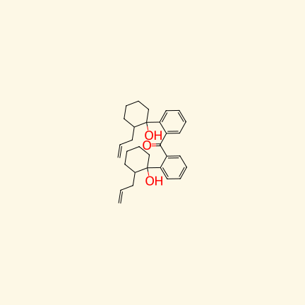 C=CCC1CCCCC1(O)c1ccccc1C(=O)c1ccccc1C1(O)CCCCC1CC=C